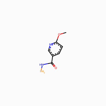 COc1ccc(C(=O)NP)cn1